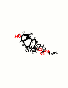 CCCCCCCCCCOC(=O)O[C@H]1CCC2C3C(CC[C@@]21C)c1ccc(O)cc1C[C@H]3C